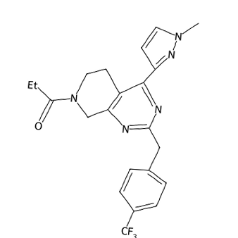 CCC(=O)N1CCc2c(nc(Cc3ccc(C(F)(F)F)cc3)nc2-c2ccn(C)n2)C1